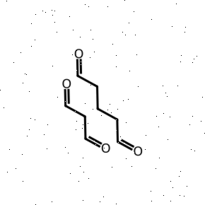 O=CCC=O.O=CCCCC=O